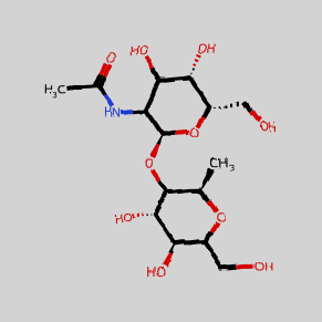 CC(=O)NC1C(O)[C@H](O)[C@H](CO)O[C@H]1OC1[C@@H](O)[C@H](O)C(CO)O[C@@H]1C